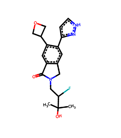 CC(C)(O)C(F)CN1Cc2cc(-c3cc[nH]n3)c(C3COC3)cc2C1=O